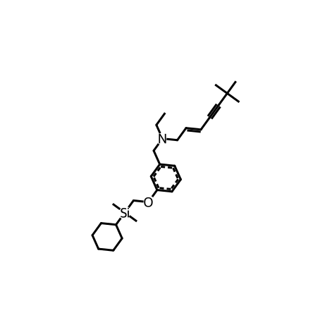 CCN(C/C=C/C#CC(C)(C)C)Cc1cccc(OC[Si](C)(C)C2CCCCC2)c1